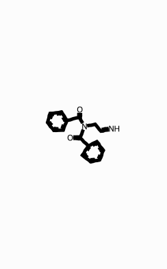 N=CCN(C(=O)c1ccccc1)C(=O)c1ccccc1